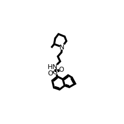 CC1CCCCN1CCCNS(=O)(=O)c1cccc2ccccc12